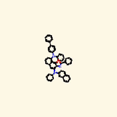 c1ccc(-c2ccc(N(c3ccccc3)c3cccc4cc(N(c5ccccc5)c5ccc6ccccc6c5)c5nc(-c6ccccc6)oc5c34)cc2)cc1